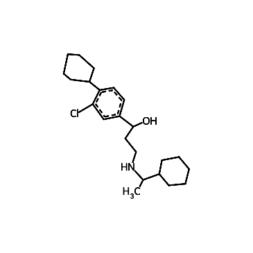 CC(NCCC(O)c1ccc(C2CCCCC2)c(Cl)c1)C1CCCCC1